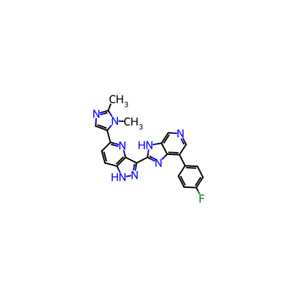 Cc1ncc(-c2ccc3[nH]nc(-c4nc5c(-c6ccc(F)cc6)cncc5[nH]4)c3n2)n1C